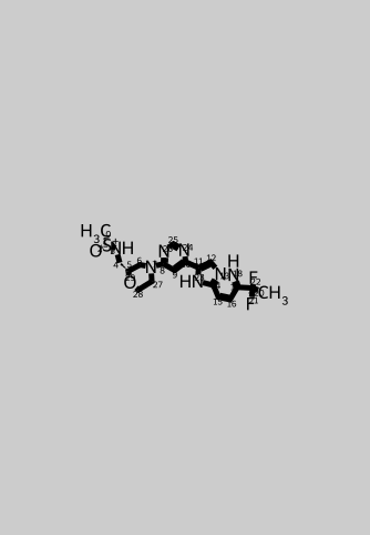 C[S+]([O-])NC[C@@H]1CN(c2cc(-c3cnc(/C=C\C(=N)C(C)(F)F)[nH]3)ncn2)CCO1